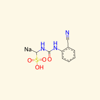 N#Cc1ccccc1NC(=O)N[CH]([Na])S(=O)(=O)O